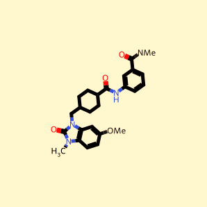 CNC(=O)c1cccc(NC(=O)C2CCC(Cn3c(=O)n(C)c4ccc(OC)cc43)CC2)c1